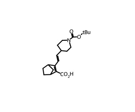 CC(C)(C)OC(=O)N1CCC(/C=C/C2=C(C(=O)O)C3CCC2C3)CC1